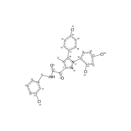 Cc1c(C(=O)C(=O)NCc2cccc(Cl)c2)nn(-c2ccc(Cl)cc2Cl)c1-c1ccc(Cl)cc1